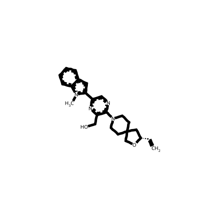 C=C[C@H]1CC2(CCN(c3ncc(-c4cc5ccccc5n4C)nc3CO)CC2)CO1